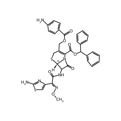 CON=C(C(=O)NC1C(=O)N2C(C(=O)OC(c3ccccc3)c3ccccc3)=C(COC(=O)c3ccc(N)cc3)CS[C@@H]12)c1csc(N)n1